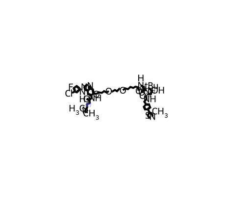 Cc1ncsc1-c1ccc(CNC(=O)[C@@H]2C[C@@H](O)CN2C(=O)[C@@H](NC(=O)CCCCCOCCCCOCCCCOc2cc3ncnc(Nc4ccc(F)c(Cl)c4)c3cc2NC(=O)/C=C/CN(C)C)C(C)(C)C)cc1